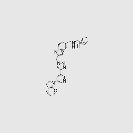 C1=Nc2ccn(-c3cncc(-c4cn(Cc5cn6cc(CNC[C@H]7CC8CC7C8)ccc6n5)nn4)c3)c2OC1